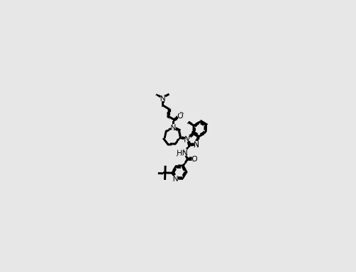 Cc1cccc2nc(NC(=O)c3ccnc(C(C)(C)C)c3)n(C3CCCCN(C(=O)/C=C/CN(C)C)C3)c12